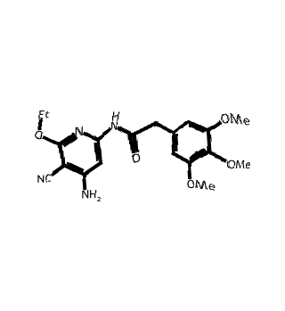 CCOc1nc(NC(=O)Cc2cc(OC)c(OC)c(OC)c2)cc(N)c1C#N